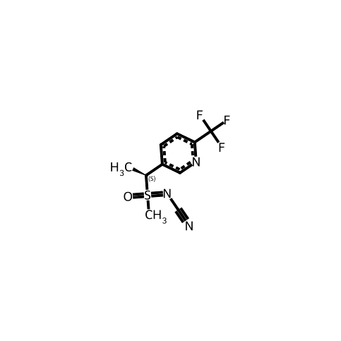 C[C@@H](c1ccc(C(F)(F)F)nc1)S(C)(=O)=NC#N